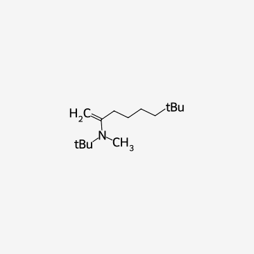 C=C(CCCCC(C)(C)C)N(C)C(C)(C)C